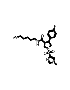 CC(C)CCCCCNC(=O)C1CN(S(=O)(=O)c2cn(C)cn2)CC1c1ccc(F)cc1